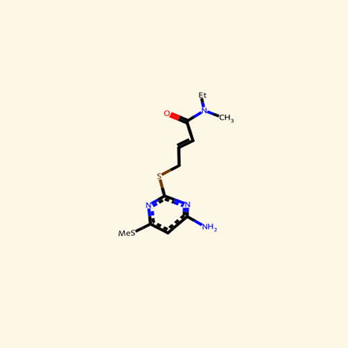 CCN(C)C(=O)C=CCSc1nc(N)cc(SC)n1